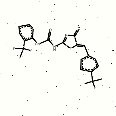 O=C(NC1=NC(=O)/C(=C/c2ccc(C(F)(F)F)cc2)S1)Nc1ccccc1C(F)(F)F